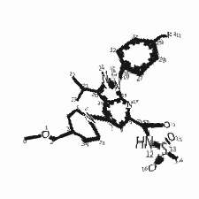 COCC1CCN(c2cc(C(=O)NS(C)(=O)=O)nc3c2c(C(C)C)nn3-c2ccc(F)cc2)CC1